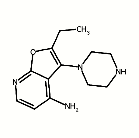 CCc1oc2nccc(N)c2c1N1CCNCC1